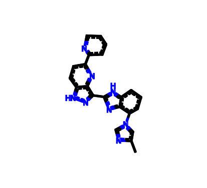 Cc1cn(-c2cccc3[nH]c(-c4n[nH]c5ccc(-c6ccccn6)nc45)nc23)cn1